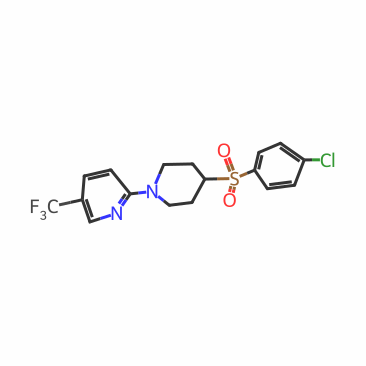 O=S(=O)(c1ccc(Cl)cc1)C1CCN(c2ccc(C(F)(F)F)cn2)CC1